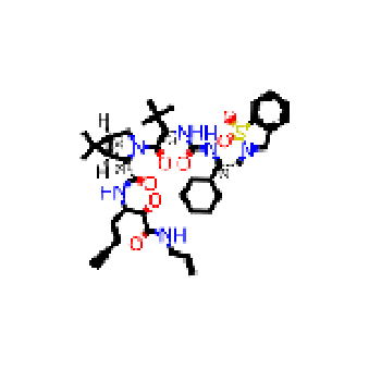 C#CCCC(NC(=O)[C@@H]1[C@@H]2[C@H](CN1C(=O)[C@@H](NC(=O)N[C@H](CN1Cc3ccccc3S1(=O)=O)C1CCCCC1)C(C)(C)C)C2(C)C)C(=O)C(=O)NCC=C